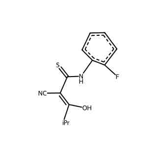 CC(C)C(O)=C(C#N)C(=S)Nc1ccccc1F